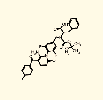 CC(C)(C)OC(=O)N(Cc1cc(F)c(-n2c(N)c(C(=O)c3ccc(F)cc3)ccc2=O)c(F)c1)[C@@H](Cc1ccccc1)C(=O)O